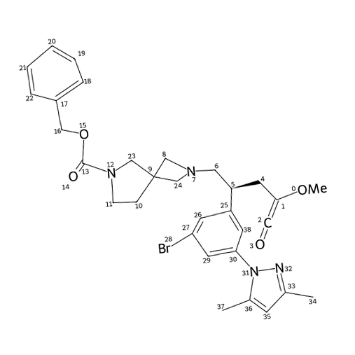 COC(=C=O)C[C@H](CN1CC2(CCN(C(=O)OCc3ccccc3)C2)C1)c1cc(Br)cc(-n2nc(C)cc2C)c1